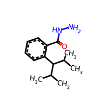 CC(C)C(c1ccccc1C(=O)NN)C(C)C